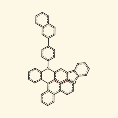 c1ccc(N(c2ccc(-c3ccc4ccccc4c3)cc2)c2ccc3oc4ccccc4c3c2)c(-c2cc3ccccc3c3ccccc23)c1